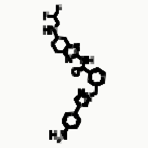 Nc1ccc(-c2cnn(Cc3cccc(C(=O)Nc4nc5c(s4)CC(NCC(F)F)CC5)c3)c2)cc1